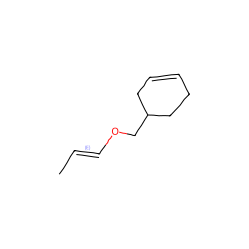 C/C=C/OCC1CC=CCC1